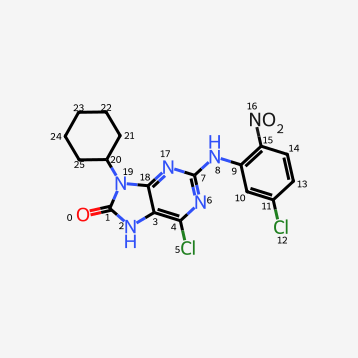 O=c1[nH]c2c(Cl)nc(Nc3cc(Cl)ccc3[N+](=O)[O-])nc2n1C1CCCCC1